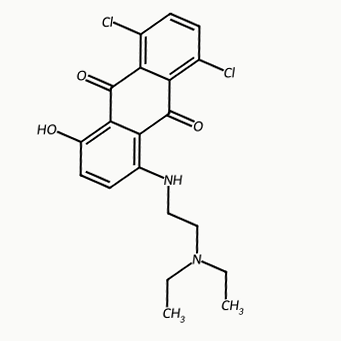 CCN(CC)CCNc1ccc(O)c2c1C(=O)c1c(Cl)ccc(Cl)c1C2=O